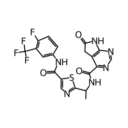 CC(NC(=O)c1ncnc2c1CC(=O)N2)c1ncc(C(=O)Nc2ccc(F)c(C(F)(F)F)c2)s1